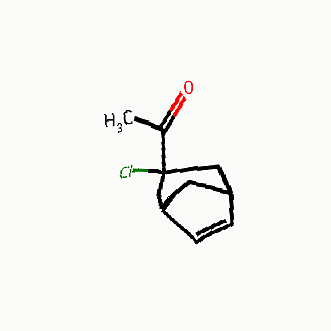 CC(=O)C1(Cl)CC2C=CC1C2